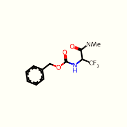 CNC(=O)C(NC(=O)OCc1ccccc1)C(F)(F)F